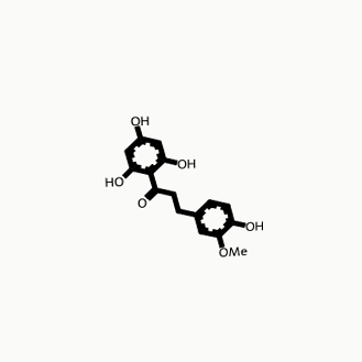 COc1cc(CCC(=O)c2c(O)cc(O)cc2O)ccc1O